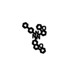 c1ccc(-c2ccc(-c3nc(-c4ccc5ccc6c7ccccc7oc6c5c4)nc(-c4cccc5oc6ccccc6c45)n3)cc2)cc1